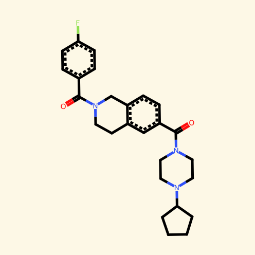 O=C(c1ccc2c(c1)CCN(C(=O)c1ccc(F)cc1)C2)N1CCN(C2CCCC2)CC1